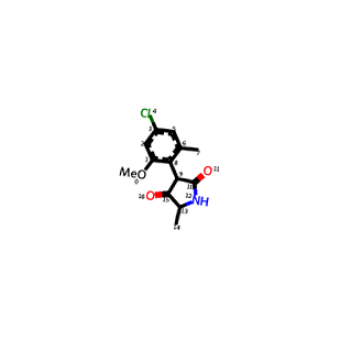 COc1cc(Cl)cc(C)c1C1C(=O)NC(C)C1=O